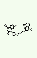 COc1cc(CCCCO[C@@H]2CCN([C@H](C(C)=O)c3cc(F)ccc3OC3CC3)C2)nc2c1CCCN2